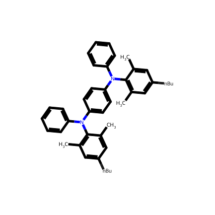 CCCCc1cc(C)c(N(c2ccccc2)c2ccc(N(c3ccccc3)c3c(C)cc(CCCC)cc3C)cc2)c(C)c1